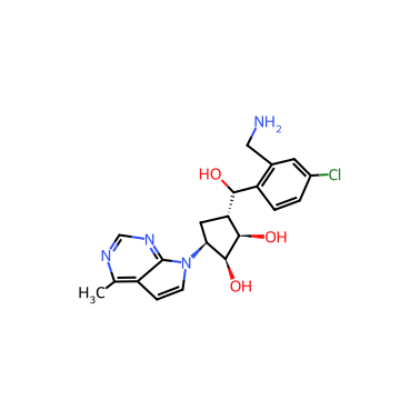 Cc1ncnc2c1ccn2[C@H]1C[C@H](C(O)c2ccc(Cl)cc2CN)[C@@H](O)[C@H]1O